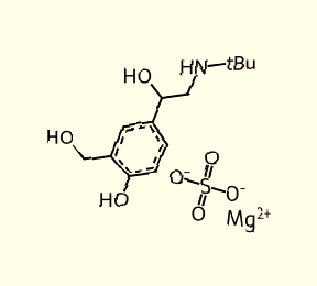 CC(C)(C)NCC(O)c1ccc(O)c(CO)c1.O=S(=O)([O-])[O-].[Mg+2]